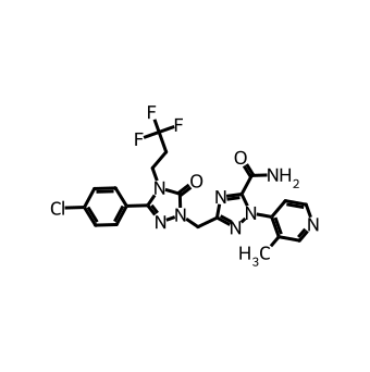 Cc1cnccc1-n1nc(Cn2nc(-c3ccc(Cl)cc3)n(CCC(F)(F)F)c2=O)nc1C(N)=O